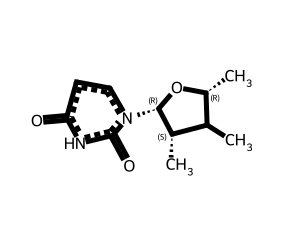 CC1[C@@H](C)O[C@@H](n2ccc(=O)[nH]c2=O)[C@H]1C